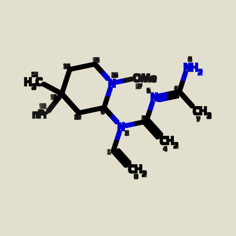 C=CN(C(=C)/N=C(\C)N)C1CC(C)(CCC)CCN1OC